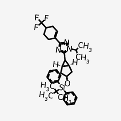 CC(C)n1nc(C2=CCC(C(F)(F)F)CC2)nc1C1[C@H]2CC(O[Si](c3ccccc3)(c3ccccc3)C(C)(C)C)C[C@@H]12